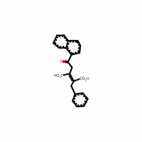 O=C(O)/C(CC(=O)c1cccc2ccccc12)=C(\Cc1ccccc1)C(=O)O